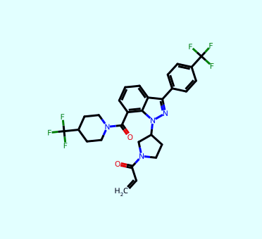 C=CC(=O)N1CCC(n2nc(-c3ccc(C(F)(F)F)cc3)c3cccc(C(=O)N4CCC(C(F)(F)F)CC4)c32)C1